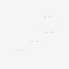 NCCCc1[c]nccc1